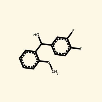 CSc1ccccc1C(O)c1ccc(F)c(F)c1